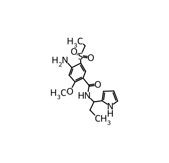 CCC(NC(=O)c1cc(S(=O)(=O)CC)c(N)cc1OC)c1ccc[nH]1